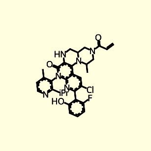 C=CC(=O)N1CC(C)N2c3c(c(=O)n(-c4c(C)ccnc4C(C)C)c4nc(-c5c(O)cccc5F)c(Cl)cc34)NCC2C1